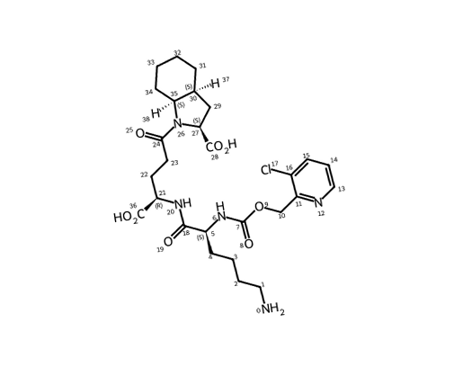 NCCCC[C@H](NC(=O)OCc1ncccc1Cl)C(=O)N[C@H](CCC(=O)N1[C@H](C(=O)O)C[C@@H]2CCCC[C@@H]21)C(=O)O